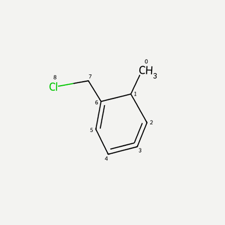 CC1C=C=CC=C1CCl